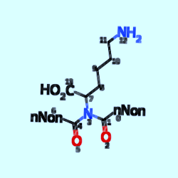 CCCCCCCCCC(=O)N(C(=O)CCCCCCCCC)C(CCCCN)C(=O)O